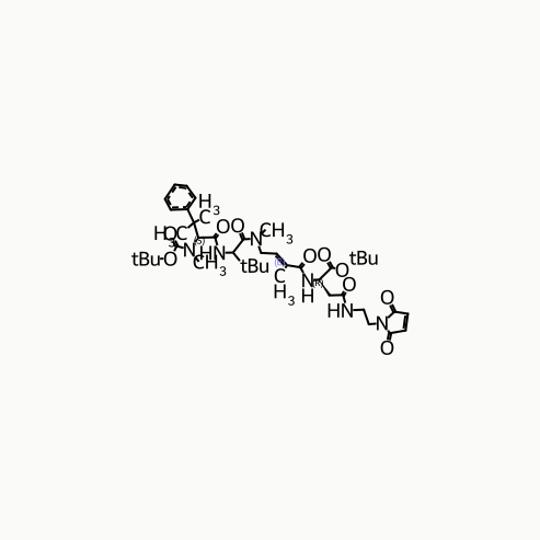 C/C(=C\CN(C)C(=O)C(NC(=O)[C@@H](N(C)C(=O)OC(C)(C)C)C(C)(C)c1ccccc1)C(C)(C)C)C(=O)N[C@H](CC(=O)NCCN1C(=O)C=CC1=O)C(=O)OC(C)(C)C